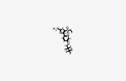 CCS(=O)(=O)c1sc(N)nc1-c1ccc(OCC(F)(F)C(F)(F)F)cn1